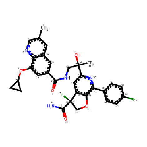 Cc1cnc2c(OC3CC3)cc(C(=O)NC[C@](O)(c3cc4c(c(-c5ccc(F)cc5)n3)OC[C@]4(F)C(N)=O)C(F)(F)F)cc2c1